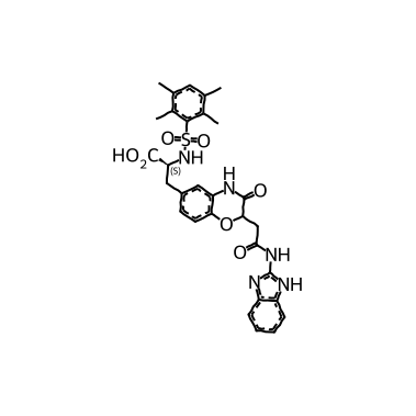 Cc1cc(C)c(C)c(S(=O)(=O)N[C@@H](Cc2ccc3c(c2)NC(=O)C(CC(=O)Nc2nc4ccccc4[nH]2)O3)C(=O)O)c1C